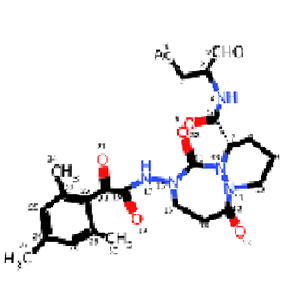 CC(=O)C[C@@H](C=O)NC(=O)[C@@H]1CCCN2C(=O)CCN(NC(=O)C(=O)c3c(C)cc(C)cc3C)C(=O)N12